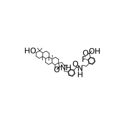 CCCC1(C(=O)NCc2cccc(C(=O)NCCc3cccc(C(=O)O)c3F)c2)CC[C@]2(C)C(CCC3C4(C)CCC(O)C(C)(C)C4CCC32C)C1C